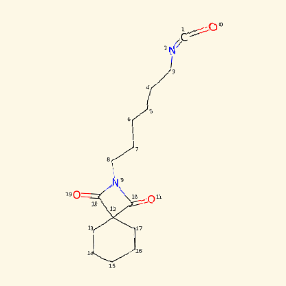 O=C=NCCCCCCN1C(=O)C2(CCCCC2)C1=O